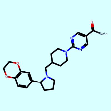 CNC(=O)c1cnc(N2CCC(CN3CCC[C@H]3c3ccc4c(c3)OCCO4)CC2)nc1